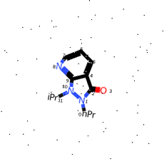 CCCn1c(=O)c2cccnc2n1C(C)C